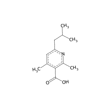 Cc1cc(CC(C)C)nc(C)c1C(=O)O